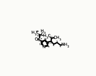 CC(C)C(CCCN)c1cncc([S+]([O-])C(C)C)c1